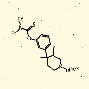 CCCCCCN1CCC(C)(c2cccc(OC(=S)N(CC)CC)c2)C(C)C1